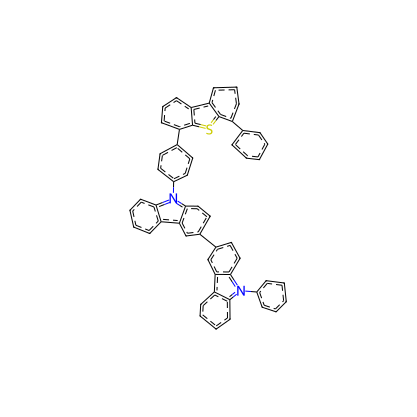 c1ccc(-c2cccc3c2sc2c(-c4ccc(-n5c6ccccc6c6cc(-c7ccc8c(c7)c7ccccc7n8-c7ccccc7)ccc65)cc4)cccc23)cc1